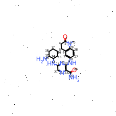 CN1C(=O)CCc2cc(Nc3nc(N[C@@H]4CCCC[C@@H]4N)cnc3C(N)=O)ccc21